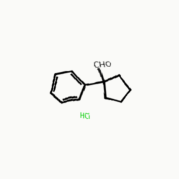 Cl.O=CC1(c2ccccc2)CCCC1